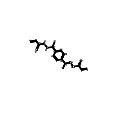 C=CC(=O)OOC(C)c1ccc(C(C)OOC(=O)C=C)cc1